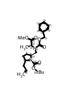 C=CCC1CC[C@@H](CN(C(=O)OCc2ccccc2)[C@@H](C)C(=O)OC)N1C(=O)OC(C)(C)C